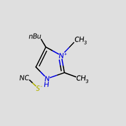 CCCCc1c[nH]c(C)[n+]1C.N#C[S-]